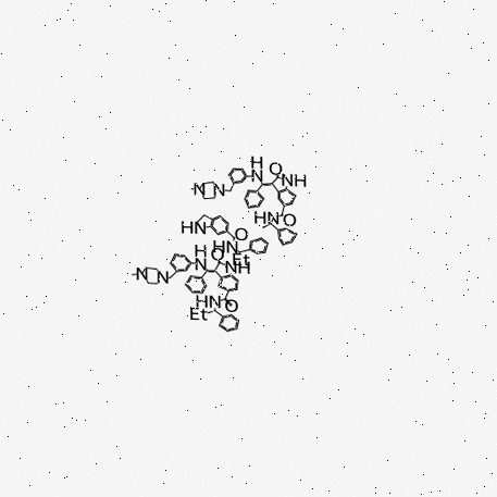 CC[C@@H](NC(=O)c1ccc2c(c1)/C(=C(/Nc1cccc(CN3CCN(C)CC3)c1)c1ccccc1)C(=O)N2)c1ccccc1.CC[C@@H](NC(=O)c1ccc2c(c1)NCC2)c1ccccc1.C[C@@H](NC(=O)c1ccc2c(c1)/C(=C(/Nc1cccc(CN3CCN(C)CC3)c1)c1ccccc1)C(=O)N2)c1ccccc1